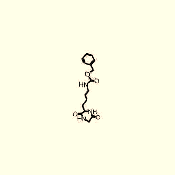 O=C1CNC(=O)C(CCCCNC(=O)OCc2ccccc2)N1